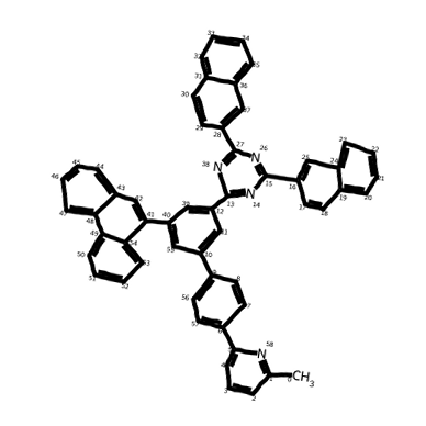 Cc1cccc(-c2ccc(-c3cc(-c4nc(-c5ccc6ccccc6c5)nc(-c5ccc6ccccc6c5)n4)cc(-c4cc5ccccc5c5ccccc45)c3)cc2)n1